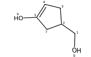 OCC1CC=C(O)C1